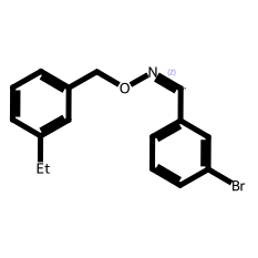 CCc1cccc(CO/N=[C]\c2cccc(Br)c2)c1